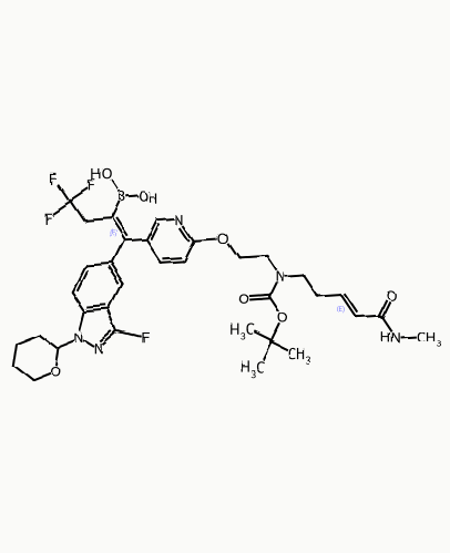 CNC(=O)/C=C/CCN(CCOc1ccc(/C(=C(/CC(F)(F)F)B(O)O)c2ccc3c(c2)c(F)nn3C2CCCCO2)cn1)C(=O)OC(C)(C)C